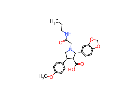 CCCNC(=O)CN1C[C@H](c2ccc(OC)cc2)[C@H](C(=O)O)[C@H]1c1ccc2c(c1)OCO2